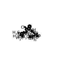 COc1cc2cc(C(=O)N3CC(CCl)c4c3cc(NC(=O)OCc3ncc([N+](=O)[O-])n3CCO[Si](C)(C)C(C)(C)C)c3ccccc43)[nH]c2c(OC)c1OC